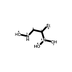 CCC(CNO)N(O)O